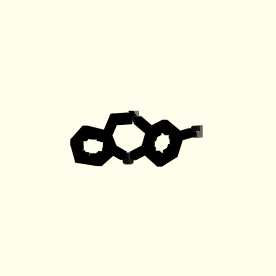 Clc1ccc2c(c1)N=Cc1ccccc1O2